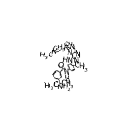 Cc1ccc(NC(=O)c2cccc(C(C)(C)N)c2)cc1Nc1ncnc2cnc(N(C)CCCN(C)C)nc12